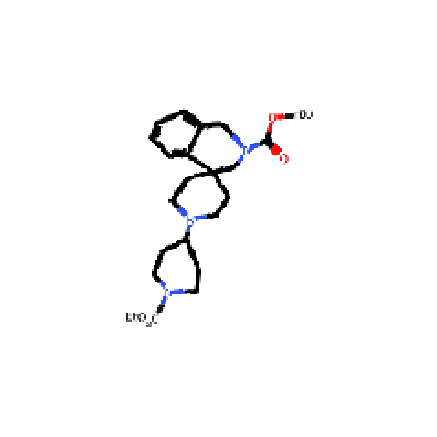 CCOC(=O)N1CCC(N2CCC3(CC2)CN(C(=O)OC(C)(C)C)Cc2ccccc23)CC1